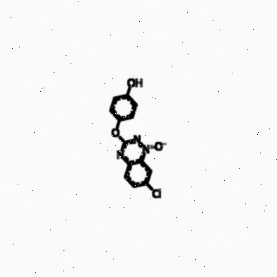 [O-][n+]1nc(Oc2ccc(O)cc2)nc2ccc(Cl)cc21